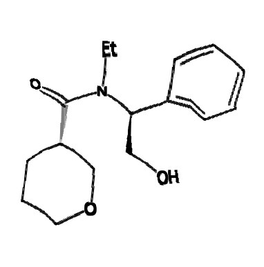 CCN(C(=O)[C@H]1CCCOC1)[C@H](CO)c1ccccc1